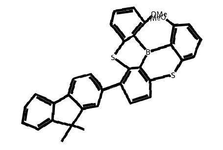 COc1cccc2c1B1c3c(OC)cccc3Sc3c(-c4ccc5c(c4)C(C)(C)c4ccccc4-5)ccc(c31)S2